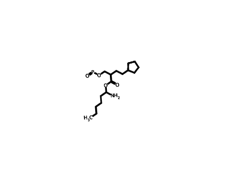 CCCCCC(N)OC(=O)C(CCC1CCCC1)COP=O